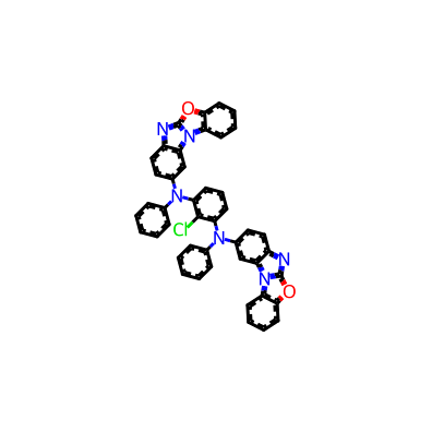 Clc1c(N(c2ccccc2)c2ccc3nc4oc5ccccc5n4c3c2)cccc1N(c1ccccc1)c1ccc2nc3oc4ccccc4n3c2c1